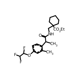 CCOC(=O)C1(CNC(=O)C(C)c2ccc(OC(F)C(F)F)cc2C)CCCCC1